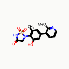 COc1ncccc1-c1cc(C)c(N2CC(=O)NS2(=O)=O)c(O)c1